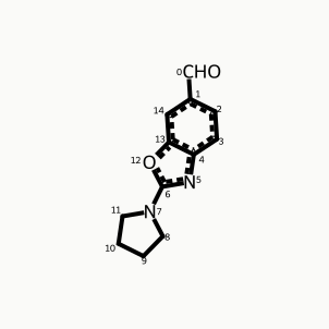 O=Cc1ccc2nc(N3CCCC3)oc2c1